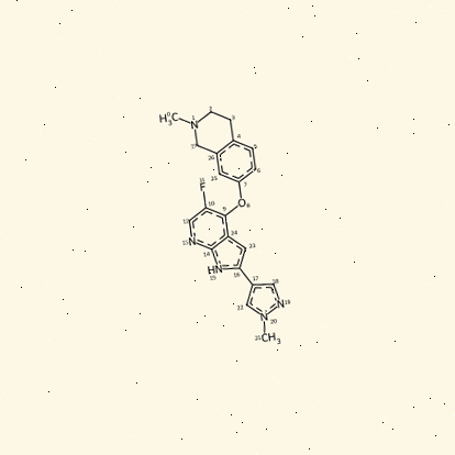 CN1CCc2ccc(Oc3c(F)cnc4[nH]c(-c5cnn(C)c5)cc34)cc2C1